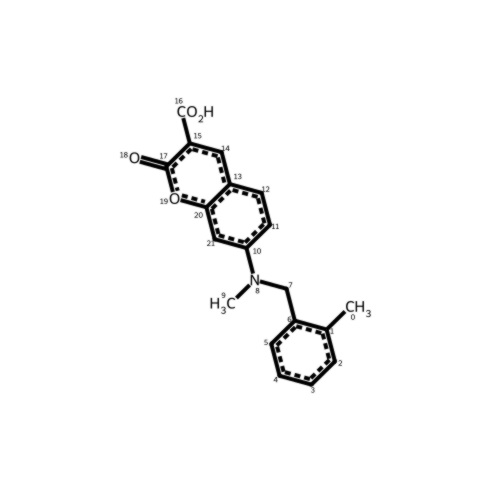 Cc1ccccc1CN(C)c1ccc2cc(C(=O)O)c(=O)oc2c1